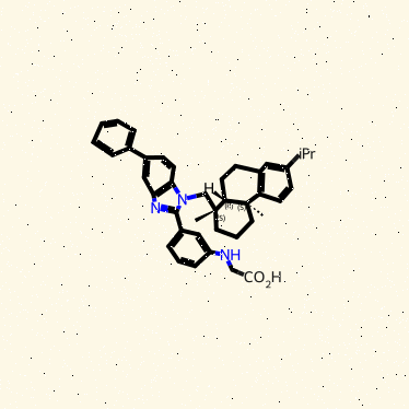 CC(C)c1ccc2c(c1)CC[C@H]1[C@@](C)(Cn3c(-c4cccc(NCC(=O)O)c4)nc4cc(-c5ccccc5)ccc43)CCC[C@]21C